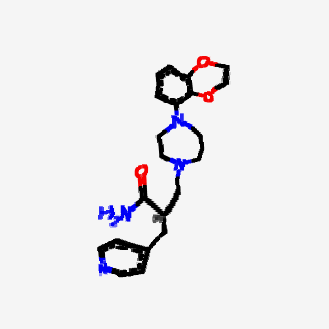 NC(=O)[C@H](Cc1ccncc1)CN1CCN(c2cccc3c2OCCO3)CC1